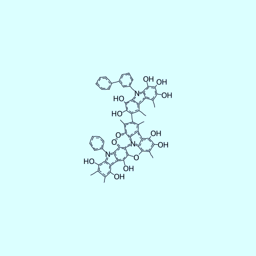 Cc1c(C)c(O)c2c(c1O)c1c(O)c3c4c(ooc5c(C)c(-c6c(O)c(O)c7c(c6C)c6c(C)c(O)c(O)c(O)c6n7-c6cccc(-c7ccccc7)c6)c(C)c6c7c(O)c(O)c(C)c(c7n4c56)O3)c1n2-c1ccccc1